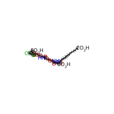 O=C(O)CCCCCCCCCCCCCCCCCCC(=O)N[C@@H](CCC(=O)NCCOCCOCC(=O)NCCOCCOCC(=O)Oc1c(Cl)cc(Cl)cc1S(=O)(=O)O)C(=O)O